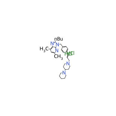 CCCCc1nc2c(C)cc(C)nc2n1Cc1ccc(C=CCN2CCC(N3CCCCC3)CC2)cc1.Cl.Cl